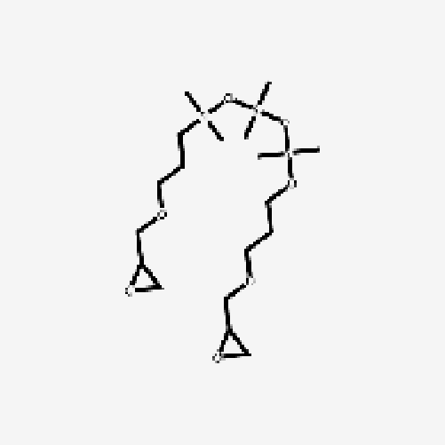 C[Si](C)(CCCOCC1CO1)O[Si](C)(C)O[Si](C)(C)OCCCOCC1CO1